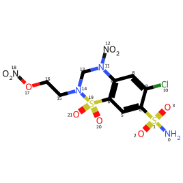 NS(=O)(=O)c1cc2c(cc1Cl)N([N+](=O)[O-])CN(CCO[N+](=O)[O-])S2(=O)=O